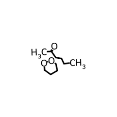 C1CCOOC1.CCCCC(C)=O